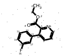 CCOC(=O)c1ncccc1-c1cccc(F)c1